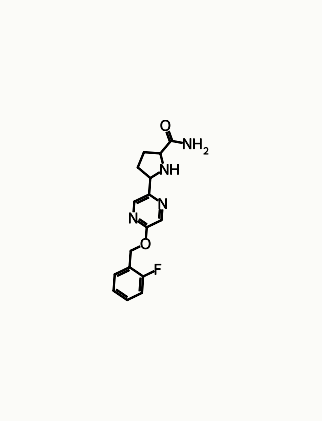 NC(=O)C1CCC(c2cnc(OCc3ccccc3F)cn2)N1